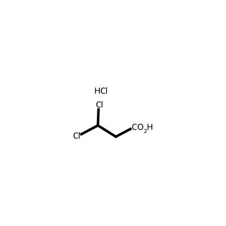 Cl.O=C(O)CC(Cl)Cl